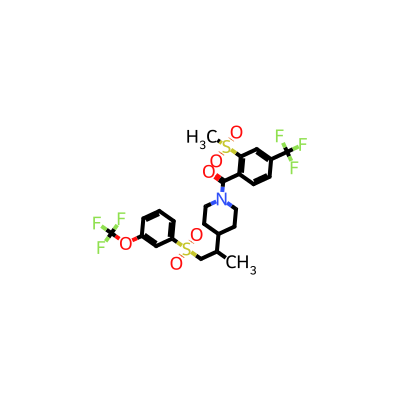 CC(CS(=O)(=O)c1cccc(OC(F)(F)F)c1)C1CCN(C(=O)c2ccc(C(F)(F)F)cc2S(C)(=O)=O)CC1